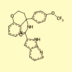 O=C(NC1(c2ccc(OC(F)(F)F)cc2)CCOc2cccnc21)c1cc2cccnc2[nH]1